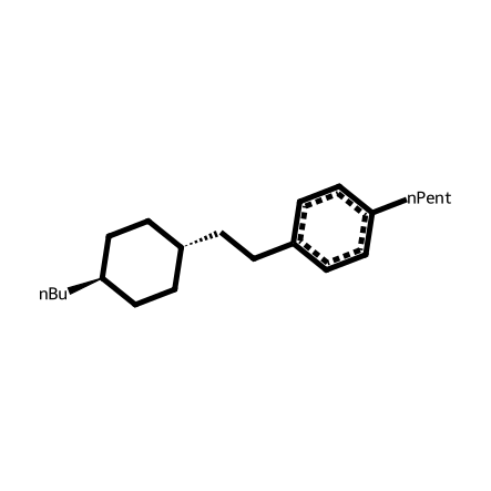 CCCCCc1ccc(CC[C@H]2CC[C@H](CCCC)CC2)cc1